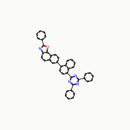 c1ccc(-c2nc(-c3ccccc3)nc(-c3ccc(-c4ccc5c(ccc6nc(-c7ccccc7)oc65)c4)c4ccccc34)n2)cc1